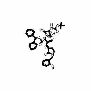 COc1ccccc1CN1CC/C(=C\C2=CS[C@@H]3[C@H](NC(=O)OC(C)(C)C)C(=O)N3[C@H]2C(=O)OC(c2ccccc2)c2ccccc2)C1=O